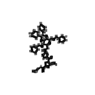 C#CCNc1nc(C)c(C(=O)c2cnc(NCC3OC(COCc4ccccc4)C(OCc4ccccc4)C(OCc4ccccc4)C3OCc3ccccc3)s2)s1